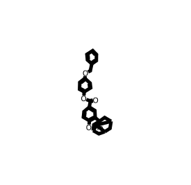 COc1ccc(C(=O)Oc2ccc(OCc3ccccc3)cc2)cc1C12CC3CC(CC(C3)C1)C2